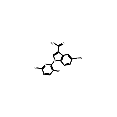 COc1ccc2c(c1)c(C(N)=O)cn2-c1nc(Cl)ncc1F